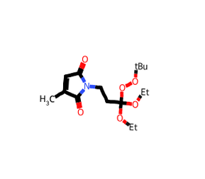 CCOC(CCN1C(=O)C=C(C)C1=O)(OCC)OOC(C)(C)C